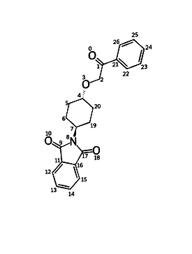 O=C(CO[C@H]1CC[C@H](N2C(=O)c3ccccc3C2=O)CC1)c1ccccc1